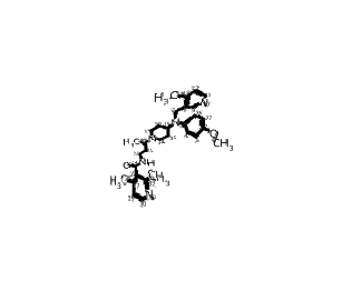 COc1ccc(N(Cc2cnccc2C)C2CCN(C(C)CCNC(=O)c3c(C)ccnc3C)CC2)cc1